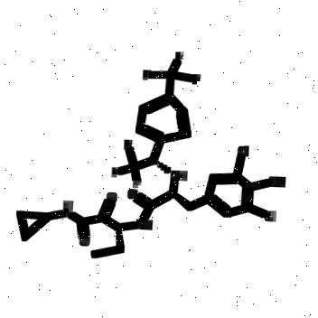 CC[C@H](NC(=O)[C@H](Cc1cc(Cl)c(O)c(Cl)c1)N[C@@H](c1ccc(C(F)(F)F)cc1)C(F)(F)F)C(=O)C(=O)NC1CC1